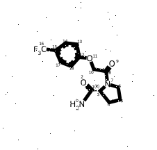 NC(=O)[C@H]1CCCN1C(=O)COc1ccc(C(F)(F)F)cc1